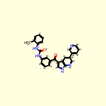 Cc1ccccc1NC(=O)Nc1cccc(C(=O)c2c[nH]c3ncc(-c4cccnc4)cc23)c1